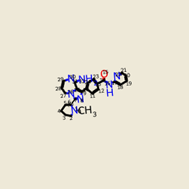 CN1CCCC[C@H]1c1nc(-c2ccc(C(=O)Nc3ccccn3)cc2)c2n1CC=CN=C2N